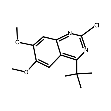 COc1cc2nc(Cl)nc(C(C)(C)C)c2cc1OC